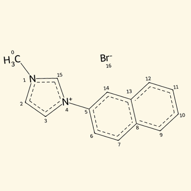 Cn1cc[n+](-c2ccc3ccccc3c2)c1.[Br-]